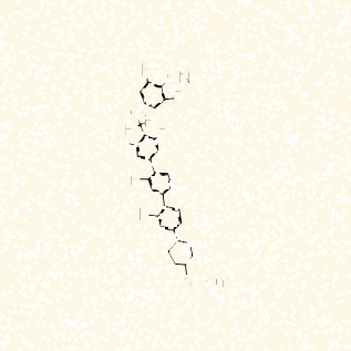 CCCCCC1CCC(c2ccc(-c3ccc(-c4cc(F)c(C(F)(F)Oc5cc(F)c(C#N)c(F)c5)c(F)c4)c(F)c3)c(F)c2)CC1